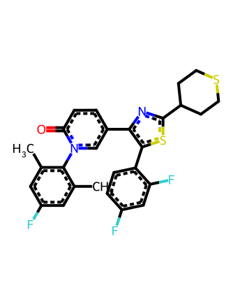 Cc1cc(F)cc(C)c1-n1cc(-c2nc(C3CCSCC3)sc2-c2ccc(F)cc2F)ccc1=O